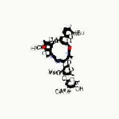 CC[C@@H](C)[C@H]1O[C@]2(C=C[C@@H]1C)C[C@@H]1C[C@@H](C/C=C(\C)[C@@H](O[C@H]3C[C@H](OC)[C@@H](O[C@H]4C[C@H](OC)[C@@H](O)[C@H](C)O4)[C@H](C)O3)[C@@H](C)/C=C/C=C3\CO[C@@H]4[C@H](O)C(C)=C[C@@H](C(=O)O1)[C@]34O)O2